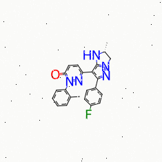 Cc1ccccc1-n1nc(-c2c(-c3ccc(F)cc3)nn3c2N[C@H](C)C3)ccc1=O